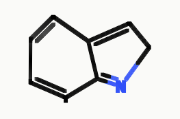 [c]1cccc2c1=NCC=2